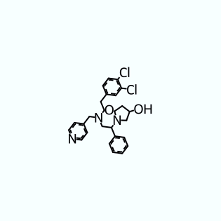 O=C(Cc1ccc(Cl)c(Cl)c1)N(Cc1ccncc1)CC(c1ccccc1)N1CCC(O)C1